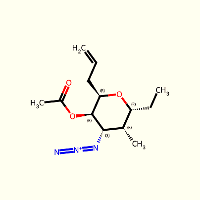 C=CC[C@H]1O[C@H](CC)[C@H](C)[C@H](N=[N+]=[N-])[C@H]1OC(C)=O